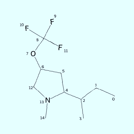 CCC(C)C1CC(OC(F)(F)F)CN1C